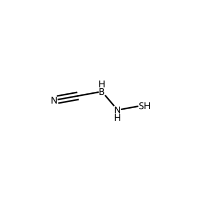 N#CBNS